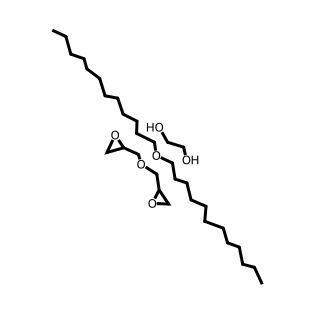 C(OCC1CO1)C1CO1.CCCCCCCCCCCCOCCCCCCCCCCCC.OCCO